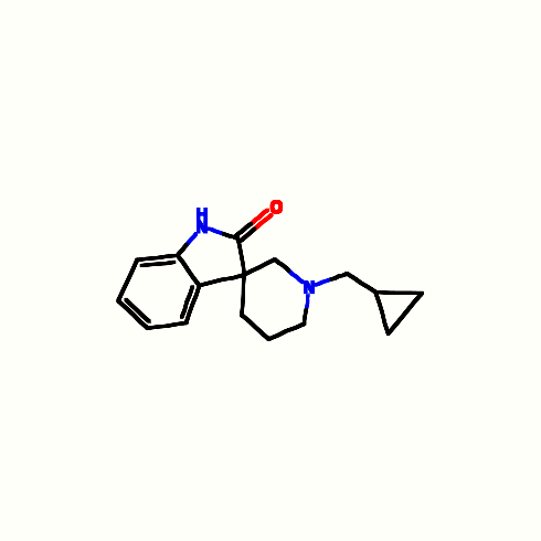 O=C1Nc2ccccc2C12CCCN(CC1CC1)C2